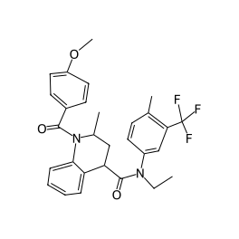 CCN(C(=O)C1CC(C)N(C(=O)c2ccc(OC)cc2)c2ccccc21)c1ccc(C)c(C(F)(F)F)c1